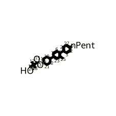 CCCCCc1ccc(-c2ccc(C3CCC(OC(=O)C(C)(C)CO)CC3)cc2C)cc1